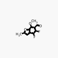 COc1c(C=O)c(F)c(F)c2cc(C)oc12